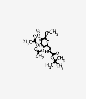 COC1OC(CNC(=O)OC(C)(C)C)[C@H](OC(C)=O)[C@H](OC(C)=O)[C@H]1O